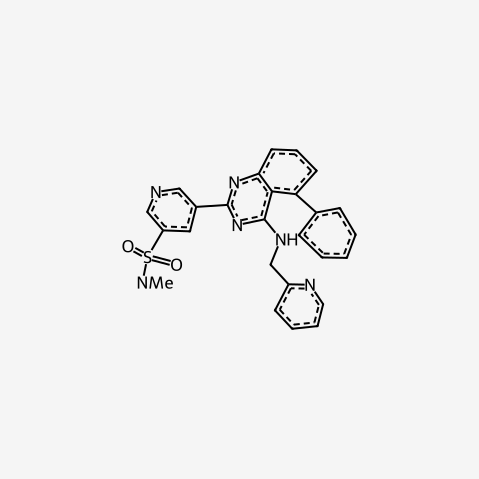 CNS(=O)(=O)c1cncc(-c2nc(NCc3ccccn3)c3c(-c4ccccc4)cccc3n2)c1